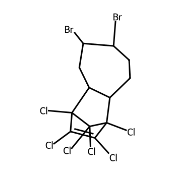 ClC1=C(Cl)C2(Cl)C3CC(Br)C(Br)CCC3C1(Cl)C2(Cl)Cl